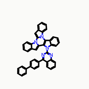 c1ccc(-c2ccc(-c3nc(-n4c5ccccc5c5c4c4cc6ccccc6n4c4cc6ccccc6n54)nc4ccccc34)cc2)cc1